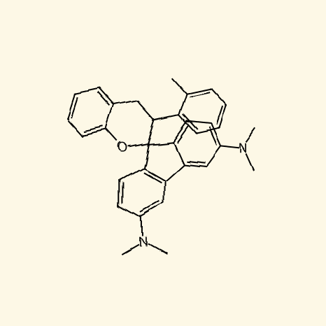 Cc1ccccc1C1Cc2ccccc2OC12c1ccc(N(C)C)cc1-c1cc(N(C)C)ccc12